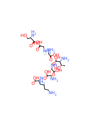 C[C@@H](O)[C@H](N)C(=O)O.C[C@H](N)C(=O)O.C[C@H](N)C(=O)O.NCC(=O)O.NCC(=O)O.NCCCC[C@H](N)C(=O)O.N[C@@H](CO)C(=O)O